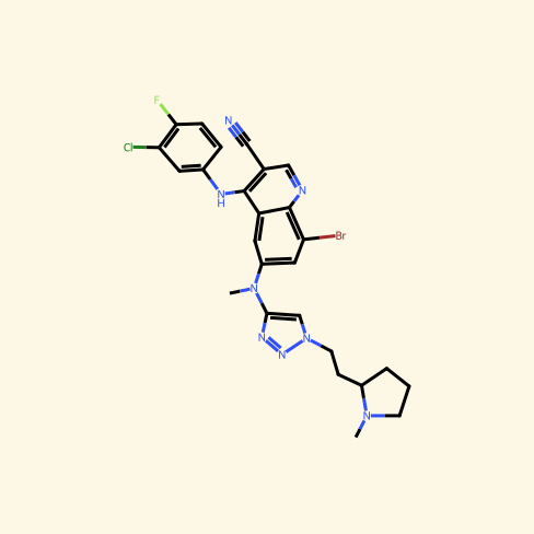 CN(c1cc(Br)c2ncc(C#N)c(Nc3ccc(F)c(Cl)c3)c2c1)c1cn(CCC2CCCN2C)nn1